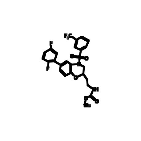 CC(C)(C)OC(=O)NCCC1CN(S(=O)(=O)c2cccc(C(F)(F)F)c2)c2cc(-c3cc(F)ccc3F)ccc2O1